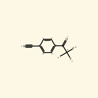 N#Cc1ccc(C(=O)C(F)(F)I)cc1